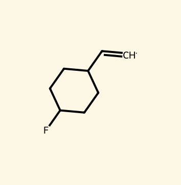 [CH]=CC1CCC(F)CC1